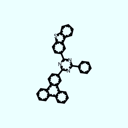 c1ccc(-c2nc(-c3ccc4sc5ccccc5c4c3)nc(-c3ccc4c5ccccc5c5ccccc5c4c3)n2)cc1